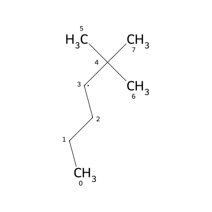 CCC[CH]C(C)(C)C